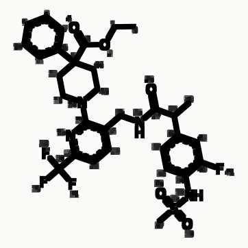 CCOC(=O)C1(c2ccccc2)CCN(c2nc(C(F)(F)F)ccc2CNC(=O)C(C)c2ccc(NS(C)(=O)=O)c(F)c2)CC1